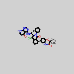 CC(Nc1ncnc2[nH]ccc(=O)c12)c1c(Cl)c2cccc(-c3ccc4c(c3)NC(=O)C(C)(C)O4)c2c(=O)n1-c1ccccc1